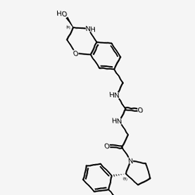 CSc1ccccc1[C@H]1CCCN1C(=O)CNC(=O)NCc1ccc2c(c1)OC[C@@H](O)N2